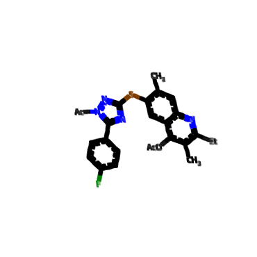 CCc1nc2cc(C)c(Sc3nc(-c4ccc(F)cc4)n(C(C)=O)n3)cc2c(OC(C)=O)c1C